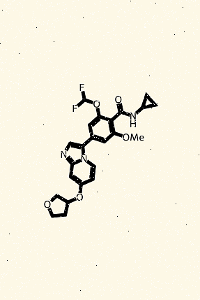 COc1cc(-c2cnc3cc(OC4CCOC4)ccn23)cc(OC(F)F)c1C(=O)NC1CC1